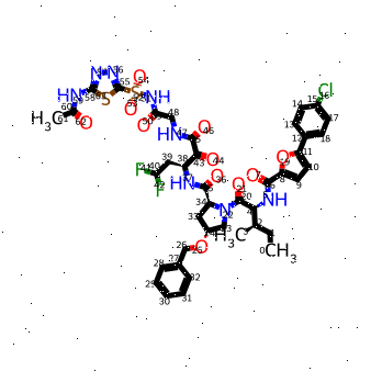 CC[C@@H](C)[C@H](NC(=O)c1ccc(-c2ccc(Cl)cc2)o1)C(=O)N1C[C@H](OCc2ccccc2)C[C@H]1C(=O)N[C@@H](CC(F)F)C(=O)C(=O)NCC(=O)NS(=O)(=O)c1nnc(NC(C)=O)s1